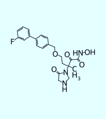 CC(CCOCc1ccc(-c2cccc(F)c2)cc1)(C(=O)C(=O)NO)N1CNCC1=O